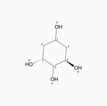 O[C]1C[C@@H](O)C(O)[C@H](O)C1